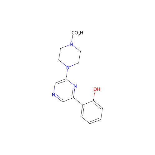 O=C(O)N1CCN(c2cncc(-c3ccccc3O)n2)CC1